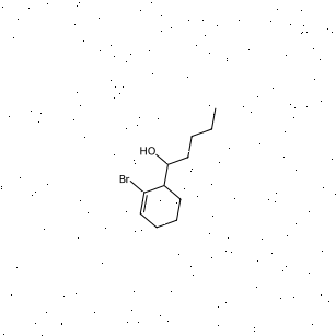 CCCCC(O)C1CCCC=C1Br